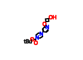 CC(C)(C)OC(=O)N1CCN(c2ccnc(O[C@H]3C[C@@H](O)C3)c2)CC1